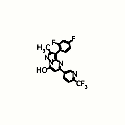 Cc1nn2c(O)cc(-c3ccc(C(F)(F)F)nc3)nc2c1-c1ccc(F)cc1F